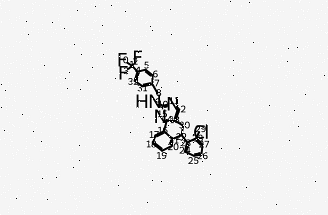 FC(F)(F)c1ccc(CNc2ncc3c(n2)-c2ccccc2C(c2ccccc2Cl)C3)cc1